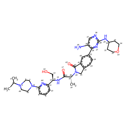 CC(C)N1CCN(c2cccc([C@@H](CO)NC(=O)[C@@H](C)N3Cc4ccc(-c5nc(NC6CCOCC6)ncc5N)cc4C3=O)n2)CC1